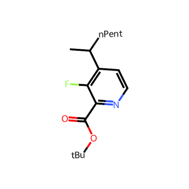 CCCCCC(C)c1ccnc(C(=O)OC(C)(C)C)c1F